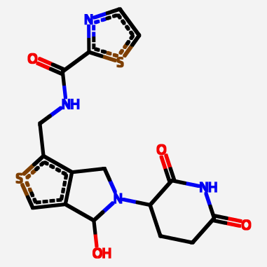 O=C1CCC(N2Cc3c(csc3CNC(=O)c3nccs3)C2O)C(=O)N1